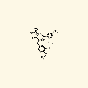 Cn1nc(C(F)(F)F)cc1C(=O)NC(Cc1ccc(OC(F)(F)F)c(Cl)c1)C(=O)NC1(C#N)CC1